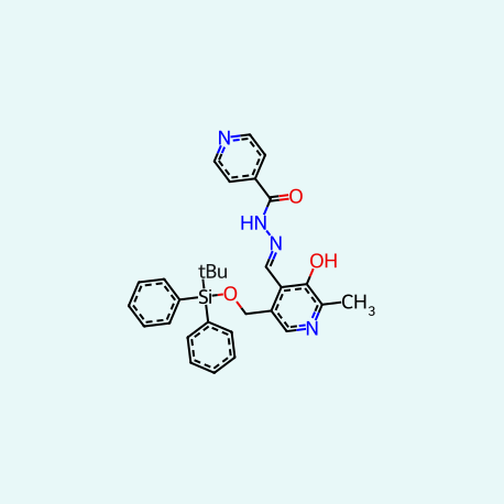 Cc1ncc(CO[Si](c2ccccc2)(c2ccccc2)C(C)(C)C)c(/C=N/NC(=O)c2ccncc2)c1O